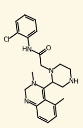 Cc1cccc2c1=C(C1CNCCN1CC(=O)Nc1ccccc1Cl)N(C)CN=2